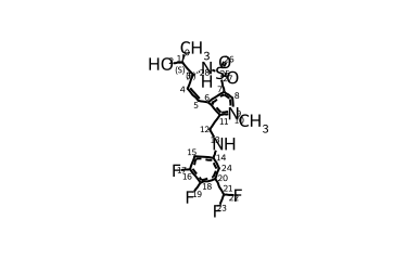 C[C@H](O)[C@H]1C=Cc2c(cn(C)c2CNc2cc(F)c(F)c(C(F)F)c2)S(=O)(=O)N1